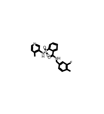 Cc1ccc(CNC(=O)c2ccccc2S(=O)(=O)Nc2cnccc2C)cc1F